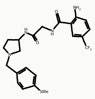 CSc1ccc(CN2CCC(NC(=O)CNC(=O)c3cc(C(F)(F)F)ccc3N)C2)cc1